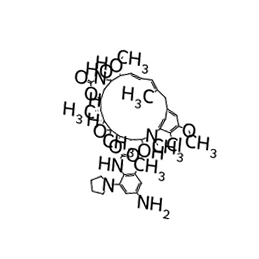 COc1cc2cc(c1Cl)N(C)C(O)C[C@H](OC(=O)Nc1c(C)cc(N)cc1N1CCCC1)[C@]1(C)O[C@H]1[C@H](C)[C@@H]1C[C@@](O)(NC(=O)O1)[C@H](OC)/C=C/C=C(\C)C2